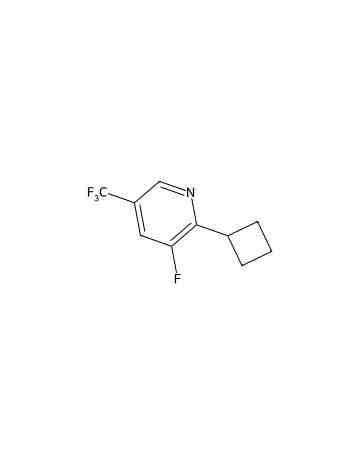 Fc1cc(C(F)(F)F)cnc1C1CCC1